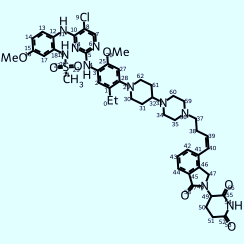 CCc1cc(Nc2ncc(Cl)c(Nc3ccc(OC)cc3NS(C)(=O)=O)n2)c(OC)cc1N1CCC(N2CCN(CC/C=C\c3cccc4c3CN(C3CCC(=O)NC3=O)C4=O)CC2)CC1